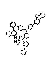 CC1(C)c2cc(-c3ccccc3)ccc2-c2ccc(N(c3ccc(-c4ccc5c(c4)oc4ccccc45)cc3)c3ccc(-c4ccccc4-c4cccc5ccccc45)cc3)cc21